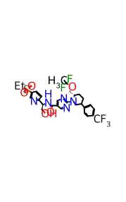 CCS(=O)(=O)c1ccc([C@H](CO)NC(=O)c2cnc(N3CC(c4ccc(C(F)(F)F)cc4)CC[C@H]3COC(C)(F)F)nc2)nc1